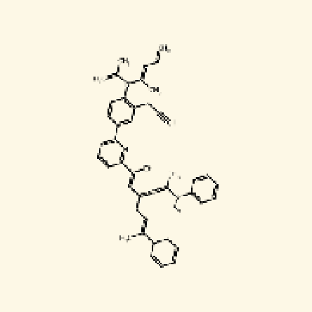 C#CCc1cc(-c2cccc(/C(=C/C(=C=C(C)N(c3ccccc3)C(C)C)C/C=C(\C)C3C=CC=CC3)CC)n2)ccc1N(C(=C)C)/C(C)=C/C=C